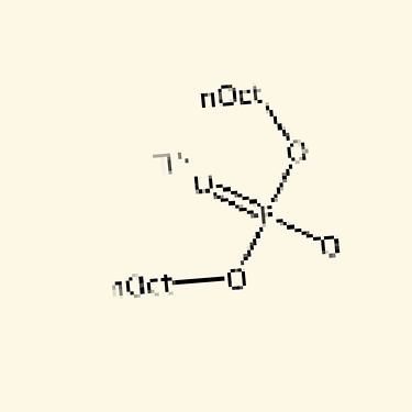 CCCCCCCCOP(=O)([O-])OCCCCCCCC.[Ti+]